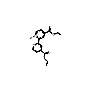 CCOC(=O)c1ccnc(-c2cc(C(=O)OCC)cc[n+]2[O-])c1